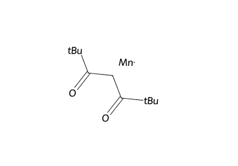 CC(C)(C)C(=O)CC(=O)C(C)(C)C.[Mn]